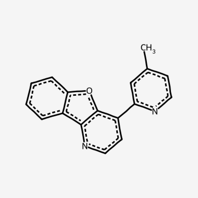 Cc1ccnc(-c2ccnc3c2oc2ccccc23)c1